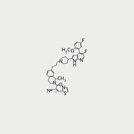 COc1ccc(F)cc1-c1c(F)cnc2[nH]c(C3CCN(CCCc4ccc5c(c4)C(C)N(C(=O)/C(C#N)=C\c4nccs4)CC5)CC3)cc12